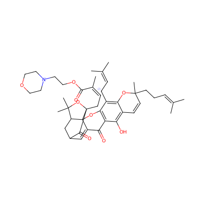 CC(C)=CCCC1(C)C=Cc2c(O)c3c(c(CC=C(C)C)c2O1)OC12C(=CC4CC1C(C)(C)OC2(C/C=C(/C)C(=O)OCCN1CCOCC1)C4=O)C3=O